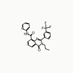 CCCn1c(-c2cccc(C(F)(F)F)c2)nc2c(C(=O)Nc3ccccn3)cccc2c1=O